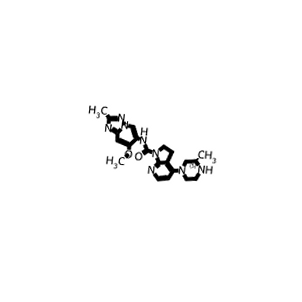 COc1cc2nc(C)nn2cc1NC(=O)N1CCc2c(N3CCN[C@@H](C)C3)ccnc21